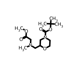 COC(=O)CN(C)CC1CN(C(=O)OC(C)(C)C)CCO1